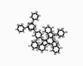 c1ccc(-c2nc(-c3ccccc3)nc(-c3ccc(-n4c5ccccc5c5c6c7ccccc7oc6c6c(c7ccccc7n6-c6ccccc6)c54)c(-c4ccccc4)c3)n2)cc1